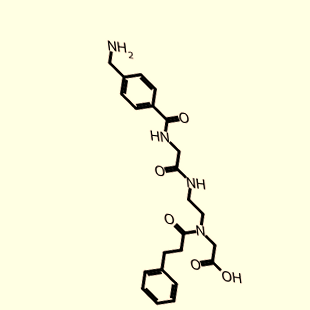 NCc1ccc(C(=O)NCC(=O)NCCN(CC(=O)O)C(=O)CCc2ccccc2)cc1